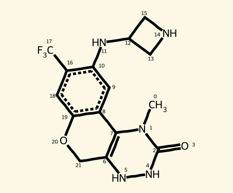 CN1C(=O)NNC2=C1c1cc(NC3CNC3)c(C(F)(F)F)cc1OC2